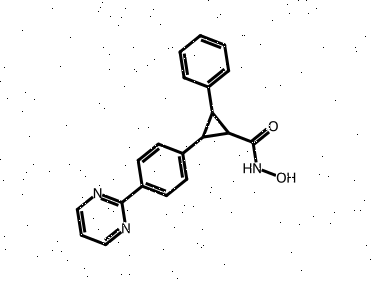 O=C(NO)C1C(c2ccccc2)C1c1ccc(-c2ncccn2)cc1